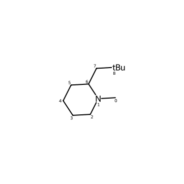 CN1CCCCC1CC(C)(C)C